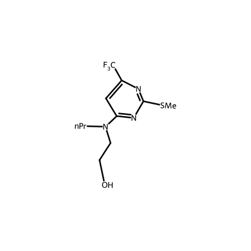 CCCN(CCO)c1cc(C(F)(F)F)nc(SC)n1